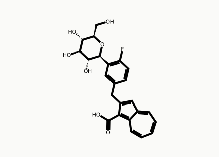 O=C(O)c1c(Cc2ccc(F)c([C@@H]3O[C@H](CO)[C@@H](O)[C@H](O)[C@H]3O)c2)cc2cccccc1-2